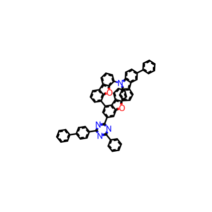 c1ccc(-c2ccc(-c3nc(-c4ccccc4)nc(-c4cc(-c5cccc6c5oc5c(-n7c8ccccc8c8cc(-c9ccccc9)ccc87)cccc56)c5c(c4)oc4ccccc45)n3)cc2)cc1